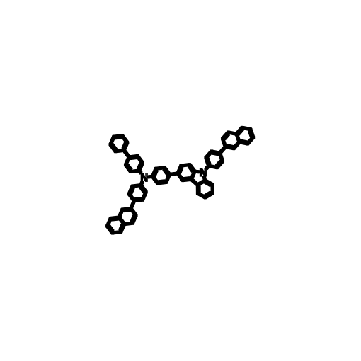 c1ccc(-c2ccc(N(c3ccc(-c4ccc5ccccc5c4)cc3)c3ccc(-c4ccc5c(c4)c4ccccc4n5-c4ccc(-c5ccc6ccccc6c5)cc4)cc3)cc2)cc1